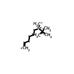 C=CCCCCN(C)C(C)(C)C